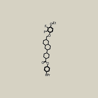 CCCc1ccc(OC(=O)C2CCC(C3CCC4CC(COc5ccc(OCC)c(F)c5F)CCC4C3)CC2)cc1